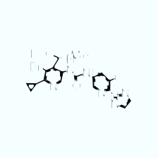 COC(C)c1c(NC(=O)Nc2cnc(-n3nccn3)c(Cl)c2)cnc(C2CC2)c1Br